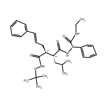 CCNC(=O)N(NC(=O)[C@H](CC(C)C)[C@H](CC=Cc1ccccc1)C(=O)NOC(C)(C)C)c1ccccc1